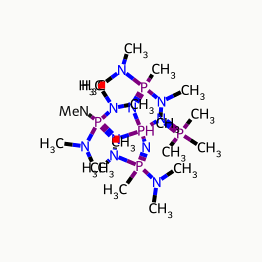 CNP(=N[PH](N=P(C)(C)C)(N=P(C)(N(C)C)N(C)C)N=P(C)(N(C)C)N(C)C)(N(C)C)N(C)C